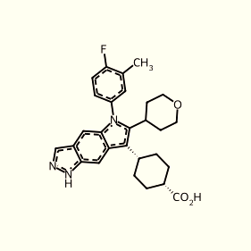 Cc1cc(-n2c(C3CCOCC3)c([C@H]3CC[C@@H](C(=O)O)CC3)c3cc4[nH]ncc4cc32)ccc1F